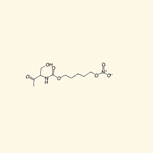 CC(=O)C(CO)NC(=O)OCCCCCO[N+](=O)[O-]